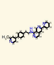 Cc1cc(-c2ccc(CCNc3nccc4cc(-c5ccccn5)ncc34)cc2)ccn1